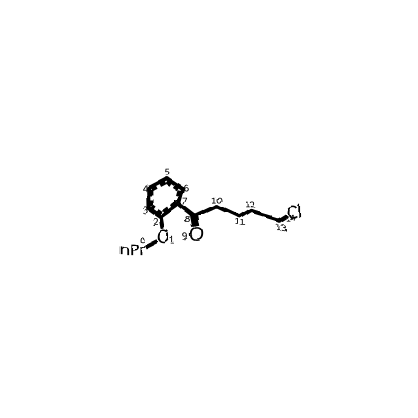 CCCOc1ccccc1C(=O)CCCCCl